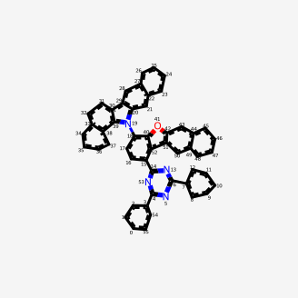 c1ccc(-c2nc(-c3ccccc3)nc(-c3ccc(-n4c5cc6ccccc6cc5c5ccc6ccccc6c54)c4oc5cc6ccccc6cc5c34)n2)cc1